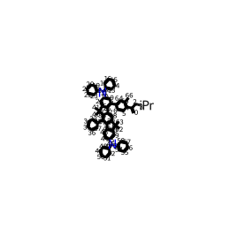 C=C(CC(C)C)c1ccc(-c2cc(N(c3ccccc3)c3ccccc3)cc3c2-c2cc4c(c(-c5ccccc5)c2C3(C)C)-c2ccc(N(c3ccccc3)c3ccccc3)cc2C4(C)C)cc1C